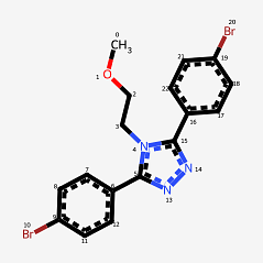 COCCn1c(-c2ccc(Br)cc2)nnc1-c1ccc(Br)cc1